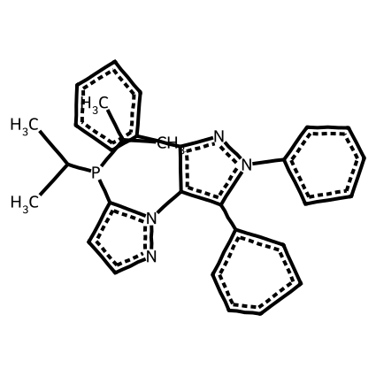 CC(C)P(c1ccnn1-c1c(-c2ccccc2)nn(-c2ccccc2)c1-c1ccccc1)C(C)C